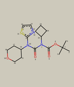 CC(C)(C)OC(=O)N(C(=O)N(c1nccs1)C1CCOCC1)C1CCC1